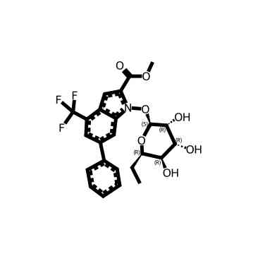 CC[C@H]1O[C@@H](On2c(C(=O)OC)cc3c(C(F)(F)F)cc(-c4ccccc4)cc32)[C@H](O)[C@H](O)[C@H]1O